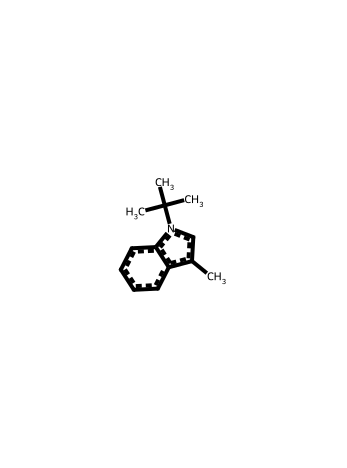 Cc1cn(C(C)(C)C)c2ccccc12